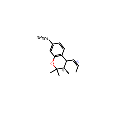 C/C=C\C1c2ccc(CCCCC)cc2OC(C)(C)[C@@H]1C